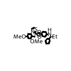 CC[C@H](Nc1ccc(S(=O)(=O)N(Cc2ccc(OC)cc2OC)c2nccs2)cc1)c1ccccc1